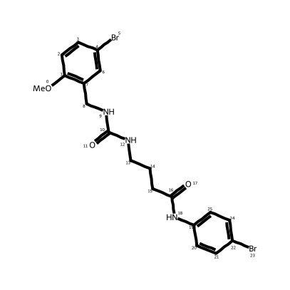 COc1ccc(Br)cc1CNC(=O)NCCCC(=O)Nc1ccc(Br)cc1